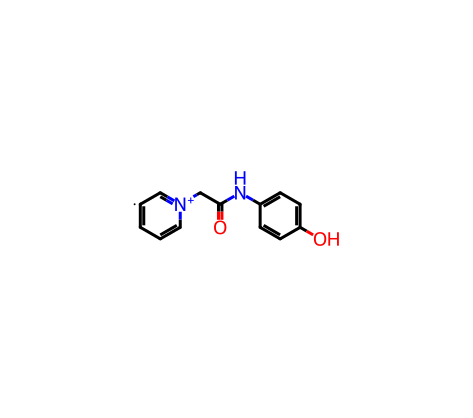 O=C(C[n+]1c[c]ccc1)Nc1ccc(O)cc1